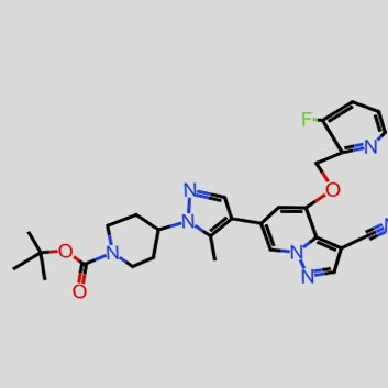 Cc1c(-c2cc(OCc3ncccc3F)c3c(C#N)cnn3c2)cnn1C1CCN(C(=O)OC(C)(C)C)CC1